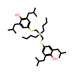 CCCC[Si](CCCC)(CSc1cc(CC(C)C)c(O)c(CC(C)C)c1)CSc1cc(CC(C)C)c(O)c(CC(C)C)c1